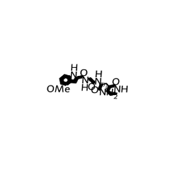 COc1cccc2[nH]c(C(=O)NCC(=O)N[C@@H](C[C@@H]3CCCNC3=O)C(N)=O)cc12